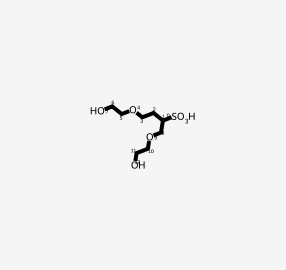 O=S(=O)(O)C(CCOCCO)COCCO